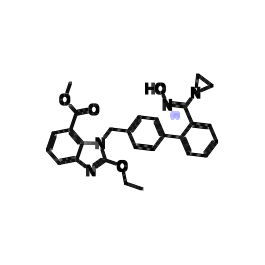 CCOc1nc2cccc(C(=O)OC)c2n1Cc1ccc(-c2ccccc2/C(=N/O)N2CC2)cc1